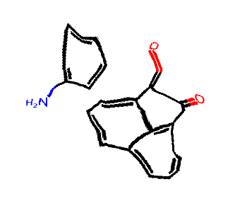 Nc1ccccc1.O=C1C(=O)c2cccc3cccc1c23